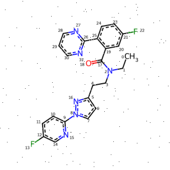 CCN(CCc1ccn(-c2ccc(F)cn2)n1)C(=O)c1cc(F)ccc1-c1ncccn1